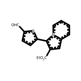 CCOC(=O)c1cc2ccccn2c1-c1ccc(C=O)s1